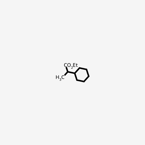 C[CH]OC(=O)C(C)C1CCCCC1